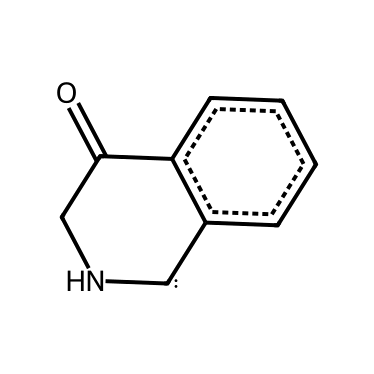 O=C1CN[C]c2ccccc21